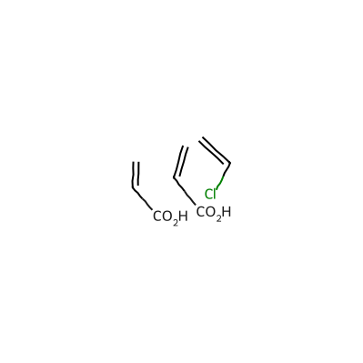 C=CC(=O)O.C=CC(=O)O.C=CCl